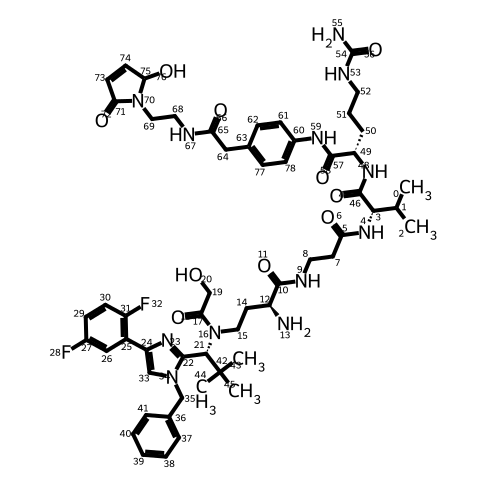 CC(C)[C@H](NC(=O)CCNC(=O)[C@@H](N)CCN(C(=O)CO)[C@@H](c1nc(-c2cc(F)ccc2F)cn1Cc1ccccc1)C(C)(C)C)C(=O)N[C@@H](CCCNC(N)=O)C(=O)Nc1ccc(CC(=O)NCCN2C(=O)C=CC2O)cc1